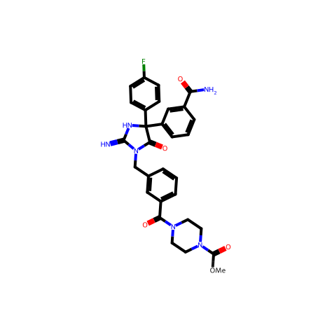 COC(=O)N1CCN(C(=O)c2cccc(CN3C(=N)NC(c4ccc(F)cc4)(c4cccc(C(N)=O)c4)C3=O)c2)CC1